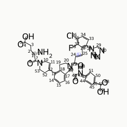 N[C@@H](CCC(=O)O)C(=O)N1CC=C(c2cccc3c2CCN(C(=O)/C=C/c2c(-n4cnnn4)ccc(Cl)c2F)[C@@H]3C(=O)Nc2ccc(C(=O)O)cc2)CC1